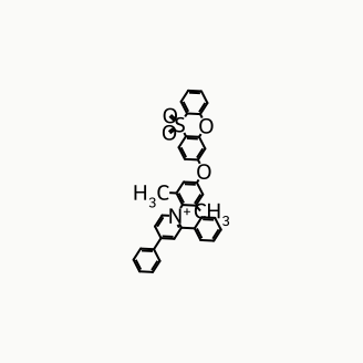 Cc1cc(Oc2ccc3c(c2)Oc2ccccc2S3(=O)=O)cc(C)c1-[n+]1ccc(-c2ccccc2)cc1-c1ccccc1